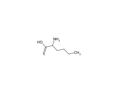 CCCCC(N)C(O)=S